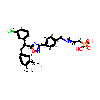 Cc1ccc(CC(c2cccc(Cl)c2)c2nc(-c3ccc(CNCCCP(=O)(O)O)cc3)no2)cc1C